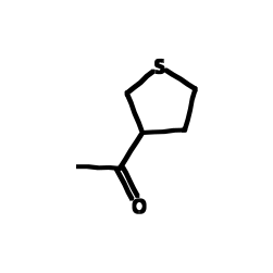 CC(=O)C1CCSC1